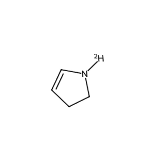 [2H]N1C=CCC1